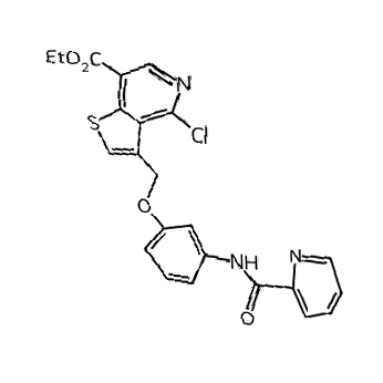 CCOC(=O)c1cnc(Cl)c2c(COc3cccc(NC(=O)c4ccccn4)c3)csc12